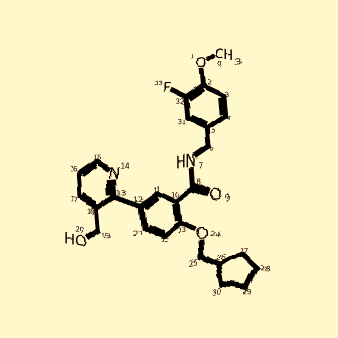 COc1ccc(CNC(=O)c2cc(-c3ncccc3CO)ccc2OCC2CCCC2)cc1F